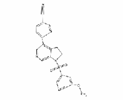 COc1cccc(S(=O)(=O)N2CCc3c(-c4ccc(C#N)cc4)cncc32)c1